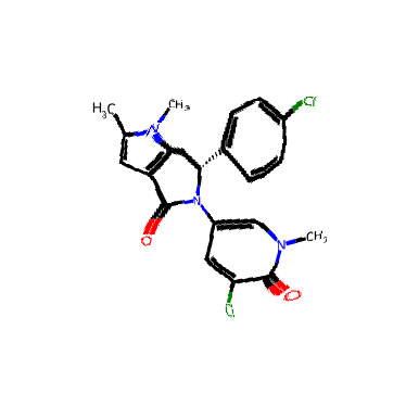 Cc1cc2c(n1C)[C@H](c1ccc(Cl)cc1)N(c1cc(Cl)c(=O)n(C)c1)C2=O